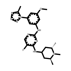 COc1cc(Nc2ncc(F)c(NC3C[C@H](C)N(C)[C@@H](C)C3)n2)cc(-n2nnnc2C)c1